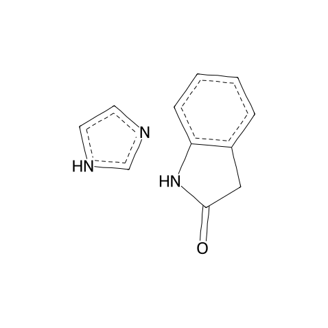 O=C1Cc2ccccc2N1.c1c[nH]cn1